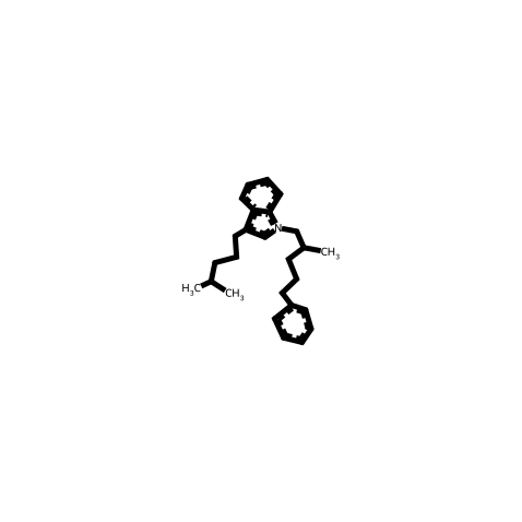 CC(C)CCCc1cn(CC(C)CCCc2ccccc2)c2ccccc12